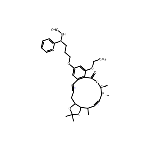 COCOc1cc(OCCCN(BC=O)c2ccccn2)cc2c1C(=O)O[C@@H](C)[C@H](C)/C=C\C(C)C1OC(C)(C)OC1C/C=C/2